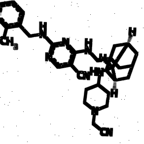 Cc1ccccc1CNc1ncc(C#N)c(NC[C@]23CC4C[C@H](C2)[C@@H](NC2CCN(CC#N)CC2)[C@@H](C4)C3)n1